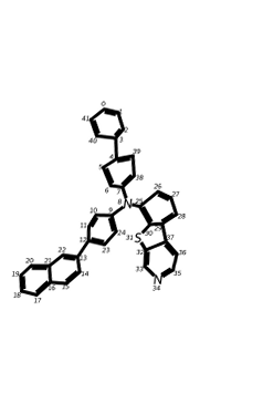 c1ccc(-c2ccc(N(c3ccc(-c4ccc5ccccc5c4)cc3)c3cccc4c3sc3cnccc34)cc2)cc1